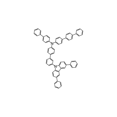 c1ccc(-c2ccc(-c3ccc(N(c4ccc(-c5ccccc5)cc4)c4ccc(-c5cccc(-n6c7ccc(-c8ccccc8)cc7c7cc(-c8ccccc8)ccc76)c5)cc4)cc3)cc2)cc1